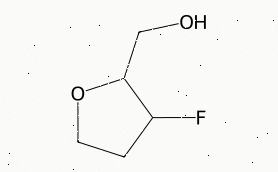 OCC1OCCC1F